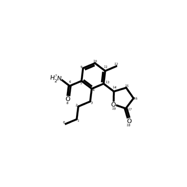 CCCCc1c(C(N)=O)ccc(C)c1C1CCC(=O)O1